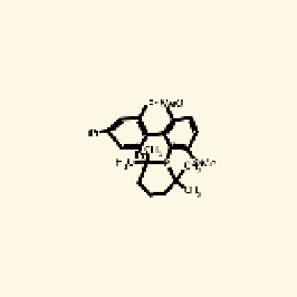 COc1ccc(OC)c(P2C(C)(C)CCCC2(C)C)c1-c1c(C(C)C)cc(C(C)C)cc1C(C)C